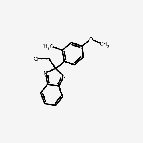 COc1ccc(C2(CCl)N=c3ccccc3=N2)c(C)c1